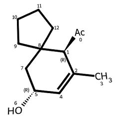 CC(=O)[C@H]1C(C)=C[C@H](O)CC12CCCC2